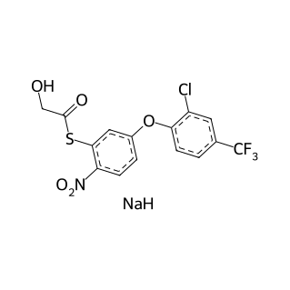 O=C(CO)Sc1cc(Oc2ccc(C(F)(F)F)cc2Cl)ccc1[N+](=O)[O-].[NaH]